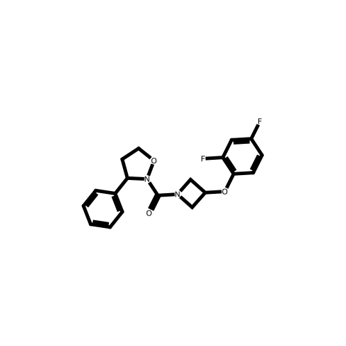 O=C(N1CC(Oc2ccc(F)cc2F)C1)N1OCCC1c1ccccc1